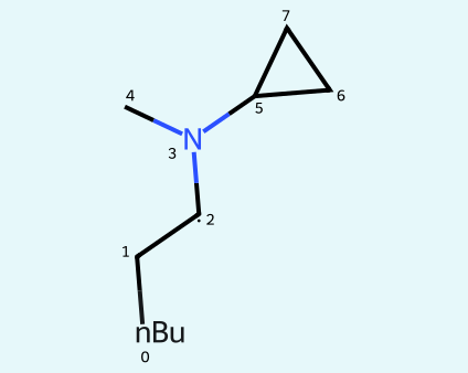 CCCCC[CH]N(C)C1CC1